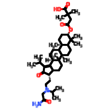 CC(C)C1=C2C(CC[C@]3(C)[C@@H]2CCC2[C@@]4(C)CC[C@H](OC(=O)CC(C)(C)C(=O)O)C(C)(C)C4CC[C@]23C)[C@H](CCN(CC(N)=O)C(C)C)C1=O